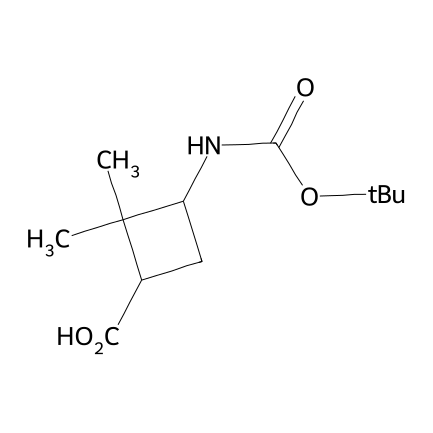 CC(C)(C)OC(=O)NC1CC(C(=O)O)C1(C)C